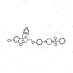 O=S(=O)(c1ccccc1)N1CCN(c2ccc(OCC3COC(Cn4cncn4)(c4ccc(Cl)cc4Cl)O3)cc2)CC1